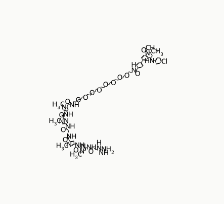 CC(=O)N1c2ccc(-c3ccc(C(=O)NCCOCCOCCOCCOCCOCCOCCOCCOCCNC(=O)c4cc(NC(=O)c5nc(NC(=O)CCNC(=O)c6cc(NC(=O)c7nc(NC(=O)CCNC(=N)N)cn7C)cn6C)cn5C)cn4C)cc3)cc2[C@H](Nc2ccc(Cl)cc2)C[C@@H]1C